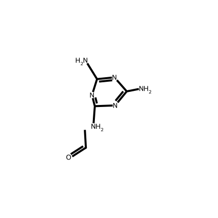 CC=O.Nc1nc(N)nc(N)n1